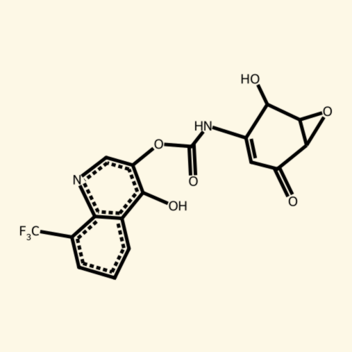 O=C(NC1=CC(=O)C2OC2C1O)Oc1cnc2c(C(F)(F)F)cccc2c1O